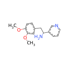 COc1ccc(CC(N)c2cccnc2)cc1OC